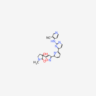 CN1CC[C@@](O)(c2cc(-c3cccc(-c4ccnc(Nc5ccncc5C#N)n4)n3)no2)C1=O